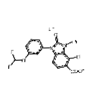 CC(C)n1c(=O)n(-c2cccc(OC(F)F)c2)c2ccc(C(=O)[O-])c(Cl)c21.[Li+]